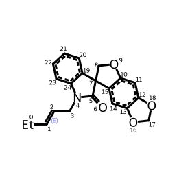 CC/C=C/CN1C(=O)C2(COc3cc4c(cc32)OCO4)c2ccccc21